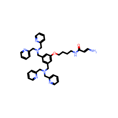 NC=CC(=O)NCCCCOc1cc(CN(Cc2ccccn2)Cc2ccccn2)cc(CN(Cc2ccccn2)Cc2ccccn2)c1